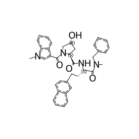 CN(Cc1ccccc1)C(=O)[C@H](CCc1ccc2ccccc2c1)NC(=O)[C@@H]1C[C@@H](O)CN1C(=O)c1cn(C)c2ccccc12